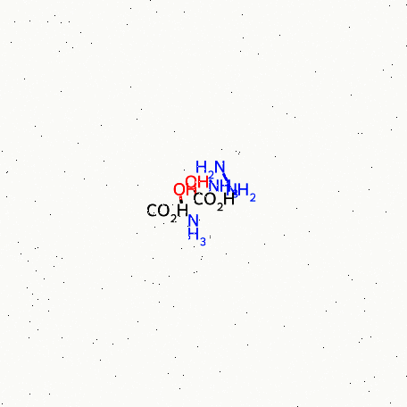 N.N.NN.O=C(O)O.O=C(O)O